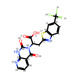 O=C(O)C(Cc1nc2ccc(C(F)(F)F)cc2s1)n1c(=O)[nH]c2ncccc2c1=O